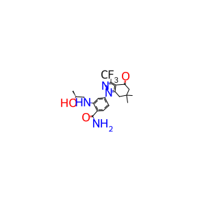 C[C@H](O)CNc1cc(-n2nc(C(F)(F)F)c3c2CC(C)(C)CC3=O)ccc1C(N)=O